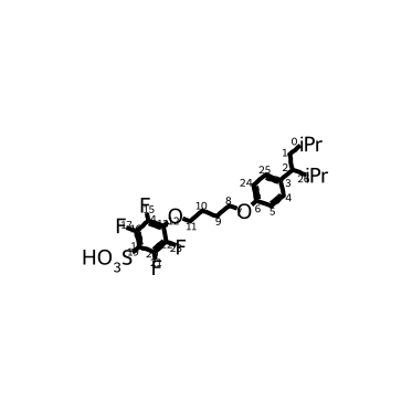 CC(C)CC(c1ccc(OCCCCOc2c(F)c(F)c(S(=O)(=O)O)c(F)c2F)cc1)C(C)C